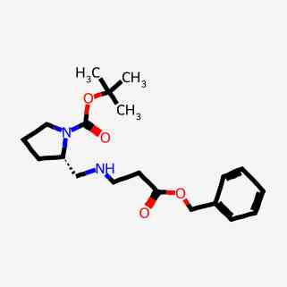 CC(C)(C)OC(=O)N1CCC[C@H]1CNCCC(=O)OCc1ccccc1